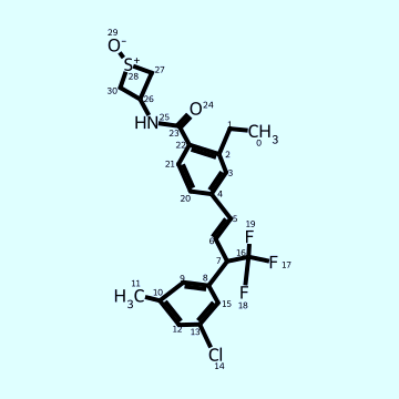 CCc1cc(/C=C/C(c2cc(C)cc(Cl)c2)C(F)(F)F)ccc1C(=O)NC1C[S+]([O-])C1